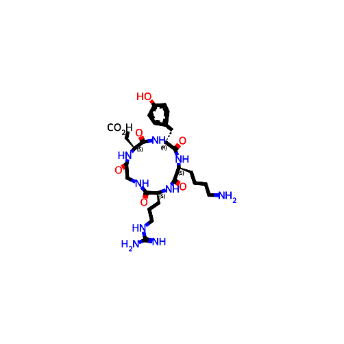 N=C(N)NCCC[C@@H]1NC(=O)[C@H](CCCCN)NC(=O)[C@@H](Cc2ccc(O)cc2)NC(=O)[C@H](CC(=O)O)NC(=O)CNC1=O